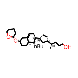 CCCC[C@H]1[C@H]([C@@H]2CC[C@H]([C@H](C)CCCO)C2)CC=C2C[C@@H](OC3CCCCO3)CC[C@@]21C